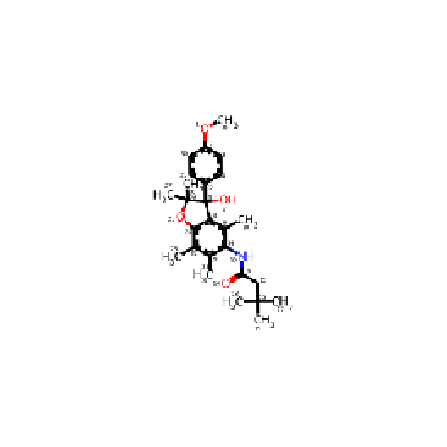 COc1ccc(C2(O)c3c(C)c(NC(=O)CC(C)(C)C)c(C)c(C)c3OC2(C)C)cc1